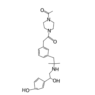 CC(=O)N1CCN(C(=O)Cc2cccc(CC(C)(C)NCC(O)c3ccc(O)cc3)c2)CC1